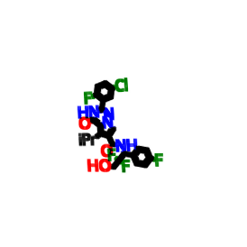 CC(C)c1c(C(=O)NC(c2ccc(F)cc2)C(F)(F)CO)cn2nc(-c3cc(Cl)ccc3F)[nH]c(=O)c12